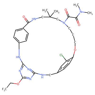 CN(C)C(=O)C(=O)N1CCCOc2ccc(cc2Cl)CNc2nc(nc(OCC(F)(F)F)n2)Nc2ccc(cc2)C(=O)NCC(C)(C)C1